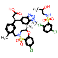 CC(O)CNS(=O)(=O)c1cc(Cl)ccc1Cl.Cc1ccc([C@@H](CC(=O)O)c2ccc3c(c2)nnn3C)cc1CN1C[C@@H](C)Oc2ccc(Cl)cc2S1(=O)=O